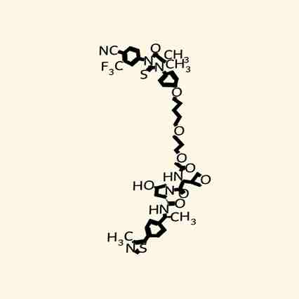 Cc1ncsc1-c1ccc([C@H](C)NC(=O)[C@@H]2C[C@@H](O)CN2C(=O)C(NC(=O)COCCCOCCCCCOc2ccc(N3C(=S)N(c4ccc(C#N)c(C(F)(F)F)c4)C(=O)C3(C)C)cc2)C2COC2)cc1